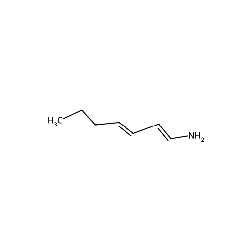 CCCC=CC=CN